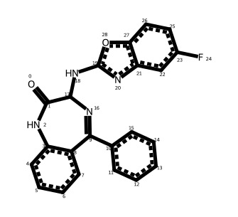 O=C1Nc2ccccc2C(c2ccccc2)=NC1Nc1nc2cc(F)ccc2o1